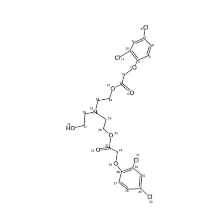 O=C(COc1ccc(Cl)cc1Cl)OCCN(CCO)CCOC(=O)COc1ccc(Cl)cc1Cl